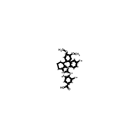 COc1ccc(C2CCCc3nc(Sc4c(F)cc(C(=O)O)cc4F)n(-c4ccc(F)cc4)c32)cc1OC